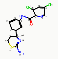 C[C@@]1(C2C=C(NC(=O)C3N=CC(Cl)=CC3Cl)C=CC2)CCSC(N)=N1